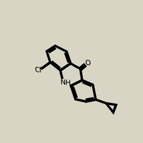 Nc1c(Cl)cccc1C(=O)c1cccc(C2CC2)c1